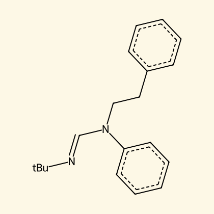 CC(C)(C)N=CN(CCc1ccccc1)c1ccccc1